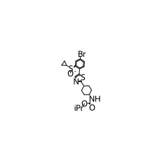 CC(C)OC(=O)NC1CCC(c2ncc(-c3ccc(Br)cc3[S+]([O-])C3CC3)s2)CC1